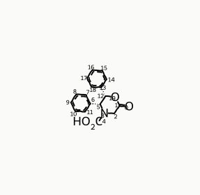 O=C1CN(C(=O)O)[C@H](c2ccccc2)[C@H](c2ccccc2)O1